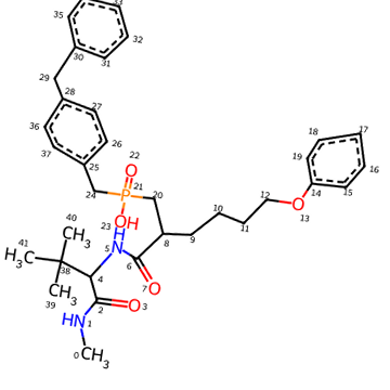 CNC(=O)C(NC(=O)C(CCCCOc1ccccc1)CP(=O)(O)Cc1ccc(Cc2ccccc2)cc1)C(C)(C)C